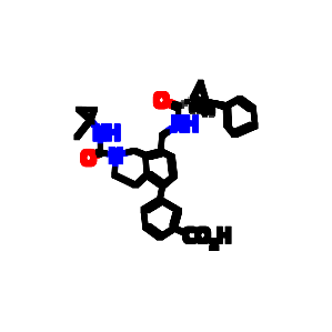 CC1(NC(=O)N2CCc3c(-c4cccc(C(=O)O)c4)ccc(CNC(=O)[C@@H]4C[C@H]4c4ccccc4)c3C2)CC1